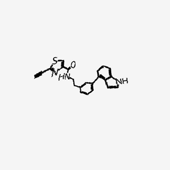 C#Cc1nc(C(=O)NCCc2cccc(-c3cccc4[nH]ccc34)c2)cs1